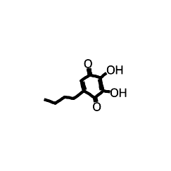 CCCCC1=CC(=O)C(O)=C(O)C1=O